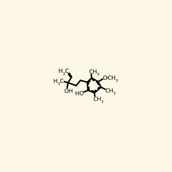 C=CC(C)(O)CCc1c(C)c(OC)c(C)c(C)c1O